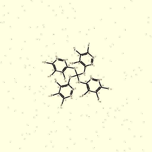 Fc1nnc(OC(Oc2nnc(F)c(F)c2F)(Oc2nnc(F)c(F)c2F)Sc2nnc(F)c(F)c2F)c(F)c1F